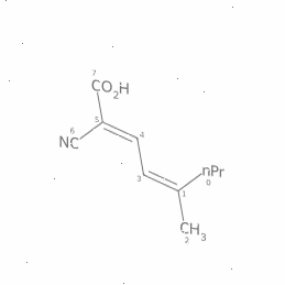 CCC/C(C)=C\C=C(/C#N)C(=O)O